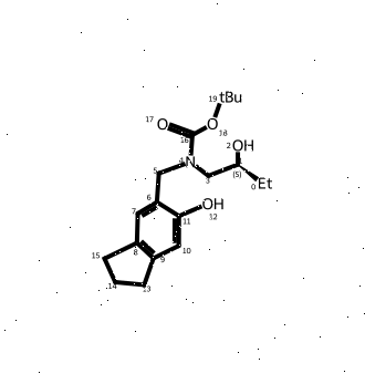 CC[C@H](O)CN(Cc1cc2c(cc1O)CCC2)C(=O)OC(C)(C)C